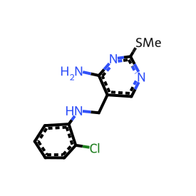 CSc1ncc(CNc2ccccc2Cl)c(N)n1